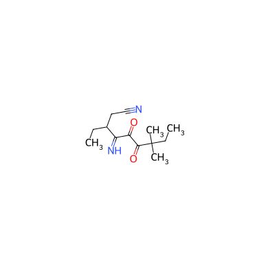 CCC(CC#N)C(=N)C(=O)C(=O)C(C)(C)CC